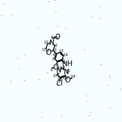 COc1cc(C2CN(C=O)CCO2)ccc1Nc1ncc(Cl)c(OC)n1